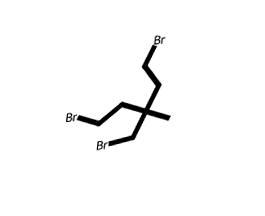 CC(CBr)(CCBr)CCBr